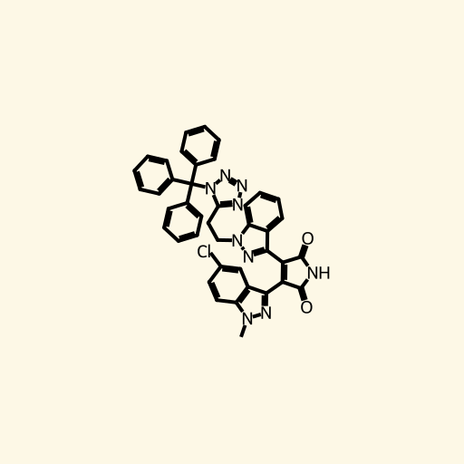 Cn1nc(C2=C(c3nn(CCc4nnnn4C(c4ccccc4)(c4ccccc4)c4ccccc4)c4ccccc34)C(=O)NC2=O)c2cc(Cl)ccc21